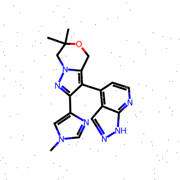 Cn1cnc(-c2nn3c(c2-c2ccnc4[nH]ncc24)COC(C)(C)C3)c1